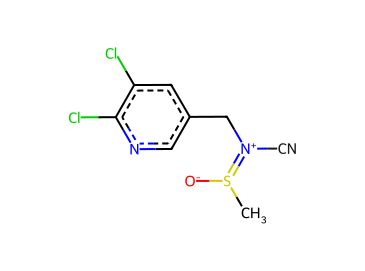 CS([O-])=[N+](C#N)Cc1cnc(Cl)c(Cl)c1